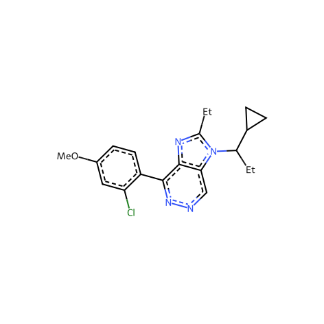 CCc1nc2c(-c3ccc(OC)cc3Cl)nncc2n1C(CC)C1CC1